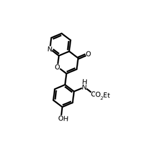 CCOC(=O)Nc1cc(O)ccc1-c1cc(=O)c2cccnc2o1